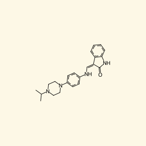 CC(C)N1CCN(c2ccc(NC=C3C(=O)Nc4ccccc43)cc2)CC1